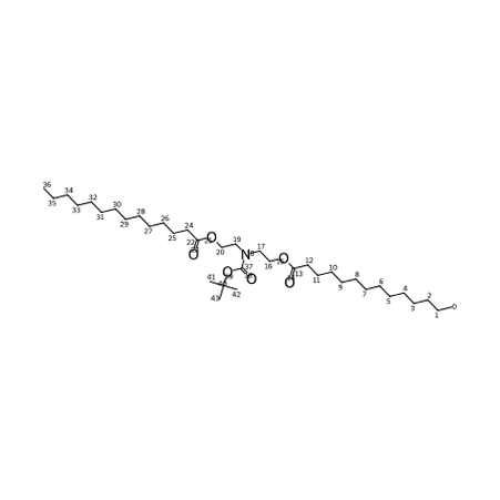 CCCCCCCCCCCCCC(=O)OCCN(CCOC(=O)CCCCCCCCCCCCC)C(=O)OC(C)(C)C